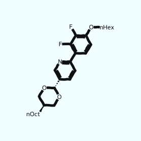 CCCCCCCC[C@H]1CO[C@H](c2ccc(-c3ccc(OCCCCCC)c(F)c3F)nc2)OC1